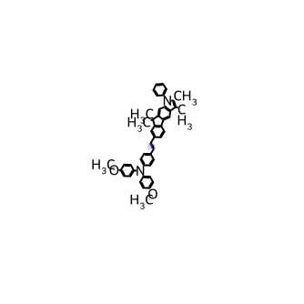 COc1ccc(N(c2ccc(/C=C/c3ccc4c(c3)C(C)(C)c3cc5c(cc3-4)c(C)c(C)n5-c3ccccc3)cc2)c2ccc(OC)cc2)cc1